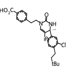 CC(C)C1=CN(CCc2ccc(C(=O)O)cc2)C(=O)N[C@@]1(C)c1ccc(CCC(C)(C)C)c(Cl)c1